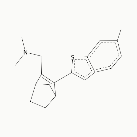 Cc1ccc2cc(C3=C(CN(C)C)C4CCC3C4)sc2c1